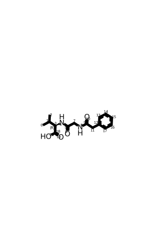 CC(C)[C@@H](NC(=O)CNC(=O)Cc1ccccc1)C(=O)O